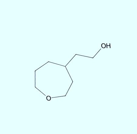 OCCC1CCCOCC1